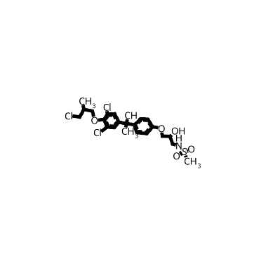 CC(CCl)COc1c(Cl)cc(C(C)(C)c2ccc(OCC(O)CNS(C)(=O)=O)cc2)cc1Cl